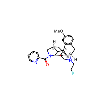 COc1ccc2c(c1)[C@]13CCN(CCF)[C@H](C2)[C@]12CCC1C3[C@@H](CN1C(=O)c1ccccn1)C2